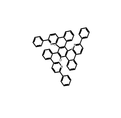 Clc1c(-c2ccccc2-c2ccc(-c3ccccc3)nc2)c(Cl)c(-c2ccccc2-c2ccc(-c3ccccc3)nc2)c(Cl)c1-c1ccccc1-c1ccc(-c2ccccc2)nc1